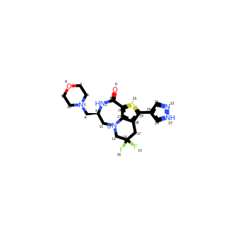 O=C1N[C@H](CN2CCOCC2)CN2CC(F)(F)Cc3c(-c4cn[nH]c4)sc1c32